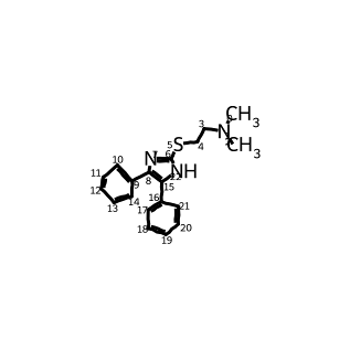 CN(C)CCSc1nc(-c2ccccc2)c(-c2ccccc2)[nH]1